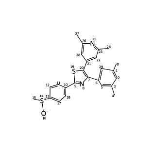 Cc1cc(C)cc(-c2nc(-c3ccc([S+](C)[O-])cc3)sc2-c2cc(C)nc(C)c2)c1